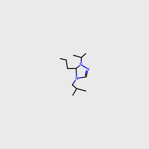 CCCC1N(CC(C)C)C=NN1C(C)C